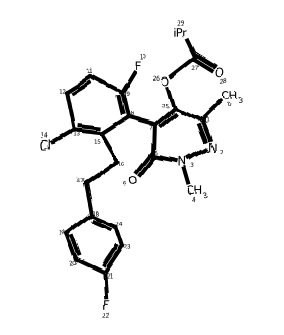 Cc1nn(C)c(=O)c(-c2c(F)ccc(Cl)c2CCc2ccc(F)cc2)c1OC(=O)C(C)C